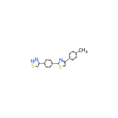 Cc1ccc(-c2csc(-c3ccc(-c4csnn4)cc3)n2)cc1